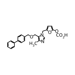 Cc1ncn(Cc2ccc(OC(=O)O)o2)c1COCc1ccc(-c2ccccc2)cc1